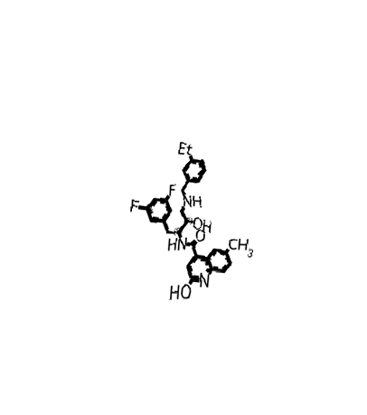 CCc1cccc(CNC[C@@H](O)[C@H](Cc2cc(F)cc(F)c2)NC(=O)c2cc(O)nc3ccc(C)cc23)c1